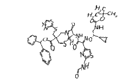 CC(C)(C)OC(=O)NCC(ON=C(C(=O)NC1C(=O)N2CC(CSc3nncs3)(C(=O)OC(c3ccccc3)c3ccccc3)CS[C@H]12)c1csc(NC=O)n1)C1CC1